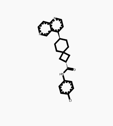 O=C(Nc1ccc(Cl)cc1)[C@H]1CC2(CC[C@H](c3ccnc4ccncc43)CC2)C1